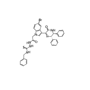 O=C(Cn1cc(C2=N[C@@H](c3ccccc3)[C@H](c3ccccc3)NC2=O)c2cc(Br)ccc21)NNC(=S)NCc1ccccc1